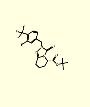 CC(C)(C)OC(=O)[C@@H]1CCCc2nn(Cc3ccc(C(F)(F)F)c(F)c3)c(=O)n21